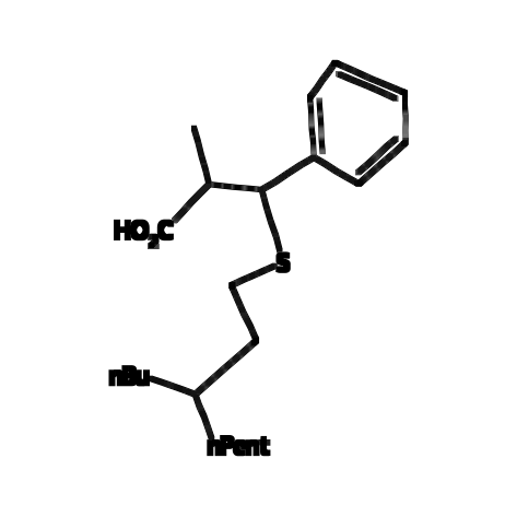 CCCCCC(CCCC)CCSC(c1ccccc1)C(C)C(=O)O